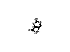 O=C1N=Nc2cnc(Br)nc21